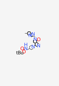 Cc1ccc2nc(Cn3ccc4c(N5CCC(CNC(=O)OC(C)(C)C)CC5)cncc4c3=O)cn2c1